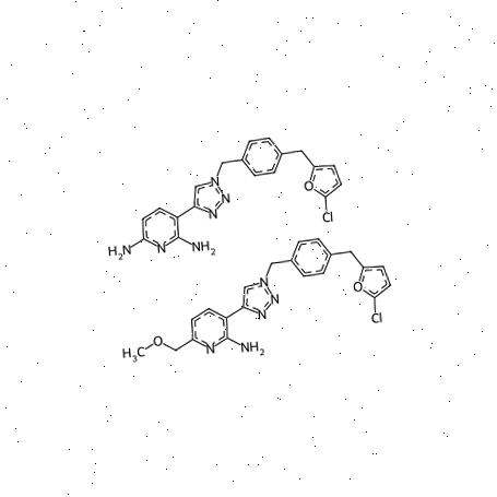 COCc1ccc(-c2cn(Cc3ccc(Cc4ccc(Cl)o4)cc3)nn2)c(N)n1.Nc1ccc(-c2cn(Cc3ccc(Cc4ccc(Cl)o4)cc3)nn2)c(N)n1